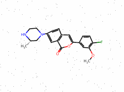 COc1cc(-c2cc3ccc(N4CCN[C@@H](C)C4)cc3c(=O)o2)ccc1F